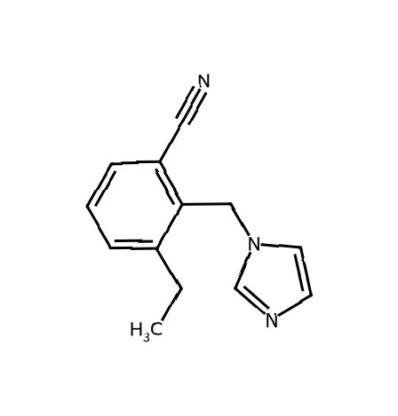 CCc1cccc(C#N)c1Cn1ccnc1